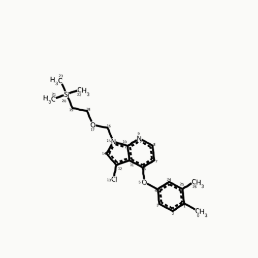 Cc1ccc(Oc2ccnc3c2c(Cl)cn3COCC[Si](C)(C)C)cc1C